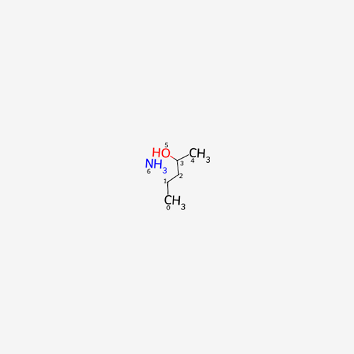 CCCC(C)O.N